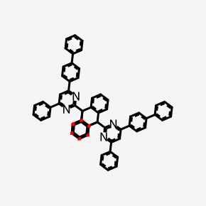 c1ccc(-c2ccc(-c3cc(-c4ccccc4)nc(C45c6ccccc6C(c6nc(-c7ccccc7)cc(-c7ccc(-c8ccccc8)cc7)n6)(c6ccccc64)c4ccccc45)n3)cc2)cc1